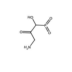 NCC(=O)C(O)P(=O)=O